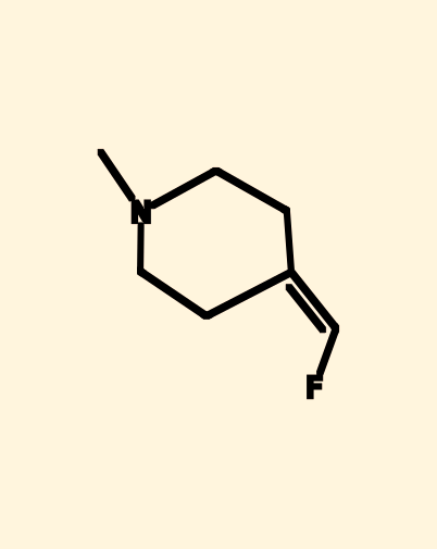 CN1CCC(=CF)CC1